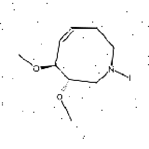 CO[C@H]1/C=C\CCN(I)C[C@@H]1OC